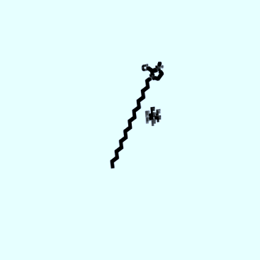 CCCCCCCCCCCCCCCCCCN1CC[N+](C)=C1Cl.F[P-](F)(F)(F)(F)F